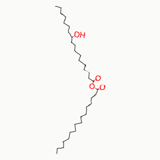 CCCCCCCCCCCCCCCC(=O)OC(=O)CCCCCCCCCC(O)CCCCCCC